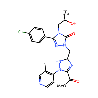 COC(=O)C1=NC(Cn2nc(-c3ccc(Cl)cc3)n(C[C@H](O)C(F)(F)F)c2=O)NN1c1ccncc1C